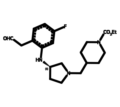 CCOC(=O)N1CCC(CN2CC[C@H](Nc3cc(F)ccc3CC=O)C2)CC1